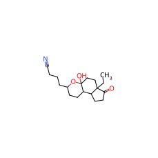 CCC12CCC3(O)OC(CCCC#N)CCC3C1CCC2=O